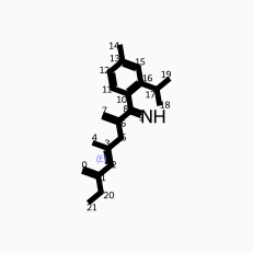 C=C(/C=C(\C)CC(=C)C(=N)c1ccc(C)cc1C(C)C)CC